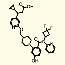 O=C(O)CC(c1ccnc(OCC2CCN(c3cc(O)ccc3C(=O)N(c3ccccn3)C3CC(F)(F)C3)CC2)c1)C1CC1